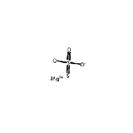 O=S([O-])([O-])=S.[Mg+2]